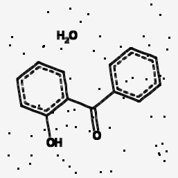 O.O=C(c1ccccc1)c1ccccc1O